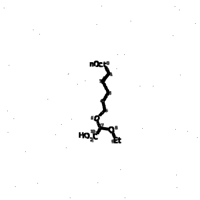 CCCCCCCCCCCCCOC(OCC)C(=O)O